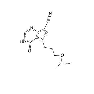 CC(C)OCCCn1cc(C#N)c2nc[nH]c(=O)c21